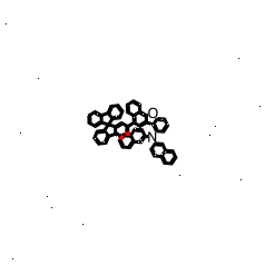 c1ccc2c(c1)-c1ccccc1C21c2ccccc2-c2ccc(-c3cc4c(oc5cccc(N(c6ccc7ccccc7c6)c6ccc7ccccc7c6)c54)c4ccccc34)cc21